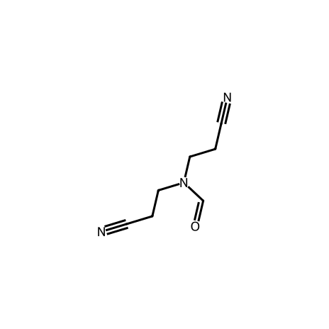 N#CCCN(C=O)CCC#N